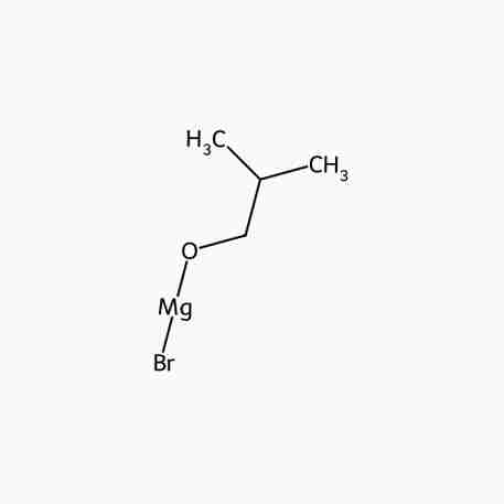 CC(C)C[O][Mg][Br]